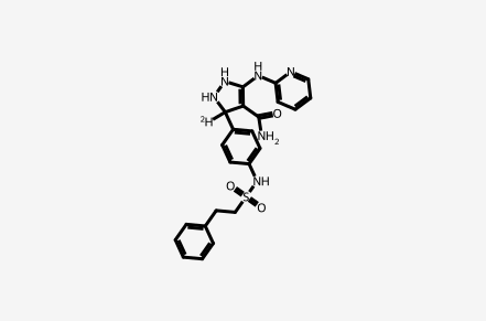 [2H]C1(c2ccc(NS(=O)(=O)CCc3ccccc3)cc2)NNC(Nc2ccccn2)=C1C(N)=O